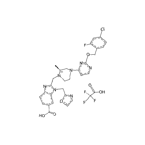 C[C@H]1CN(c2ccnc(OCc3ccc(Cl)cc3F)n2)CCN1Cc1nc2ccc(C(=O)O)cc2n1Cc1ncco1.O=C(O)C(F)(F)F